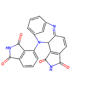 O=C1NC(=O)C2=C1C=CC1=Nc3cccc(c3)N(c3cccc4c3C(=O)NC4=O)C12